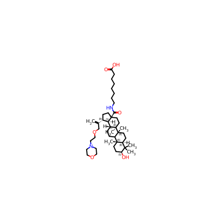 C=C(COCCN1CCOCC1)[C@@H]1CC[C@]2(C(=O)NCCCCCCCC(=O)O)CC[C@]3(C)[C@H](CCC4[C@@]5(C)CC[C@H](O)C(C)(C)[C@@H]5CC[C@]43C)[C@@H]12